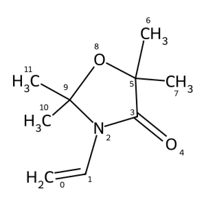 C=CN1C(=O)C(C)(C)OC1(C)C